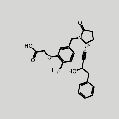 Cc1ccc(CN2C(=O)CC[C@@H]2C#CC(O)Cc2ccccc2)cc1OCC(=O)O